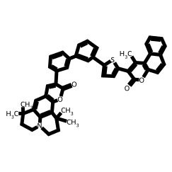 Cc1c(-c2ccc(-c3cccc(-c4cccc(-c5cc6cc7c8c(c6oc5=O)C(C)(C)CCN8CCC7(C)C)c4)c3)s2)c(=O)oc2ccc3ccccc3c12